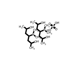 CC(O)CC(CC(C)O)N(C)C.CC(O)CC(CC(C)O)N(C)C.O=S(=O)(O)O